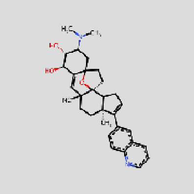 CN(C)[C@H]1C[C@@]23CC[C@]4(O2)C2CC=C(c5ccc6ncccc6c5)[C@@]2(C)CCC4(C#N)C=C3[C@@H](O)[C@@H]1O